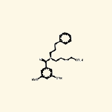 COc1cc(OC)cc(C(=O)N(CCCc2ccccc2)CCOCC(=O)O)c1